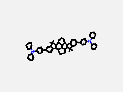 CC1(C)c2cc(-c3ccc(N(c4ccccc4)c4ccccc4)cc3)ccc2-c2c1c1cccc3c4c(c5cccc2c5c31)C(C)(C)c1cc(-c2ccc(N(c3ccccc3)c3ccccc3)cc2)ccc1-4